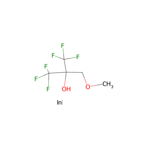 COCC(O)(C(F)(F)F)C(F)(F)F.[In]